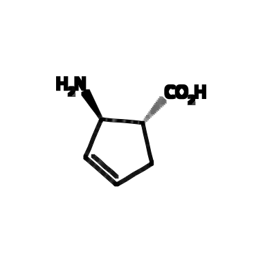 N[C@@H]1C=CC[C@H]1C(=O)O